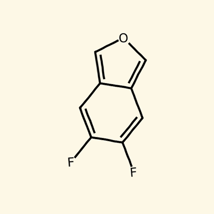 Fc1cc2cocc2cc1F